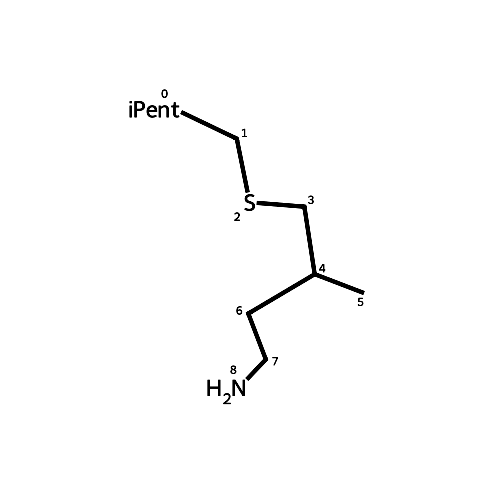 CCCC(C)CSCC(C)CCN